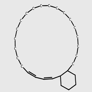 C1=CCCCCCCCCCCCCCCCCCCC2CCCCC2C=C1